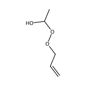 C=CCOOC(C)O